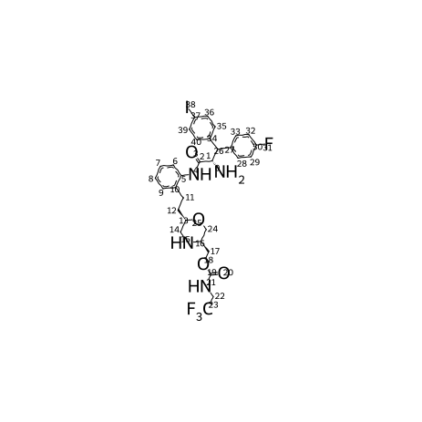 N[C@H](C(=O)Nc1ccccc1CC[C@@H]1CN[C@H](COC(=O)NCC(F)(F)F)CO1)C(c1ccc(F)cc1)c1ccc(I)cc1